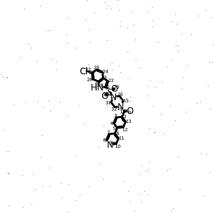 O=C(c1ccc(-c2ccncc2)cc1)N1CCN(S(=O)(=O)c2cc3ccc(Cl)cc3[nH]2)CC1